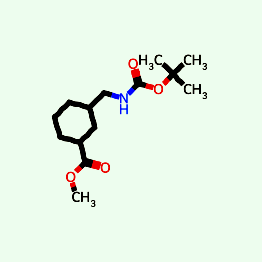 COC(=O)C1CCCC(CNC(=O)OC(C)(C)C)C1